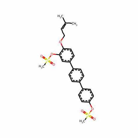 CC(C)=CCOc1ccc(-c2ccc(-c3ccc(OS(C)(=O)=O)cc3)cc2)cc1OS(C)(=O)=O